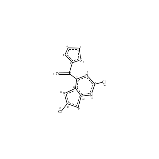 O=C(c1cccs1)c1nc(Cl)nc2cc(Cl)sc12